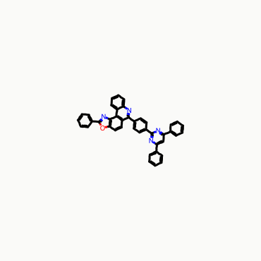 c1ccc(-c2cc(-c3ccccc3)nc(-c3ccc(-c4nc5ccccc5c5c4ccc4oc(-c6ccccc6)nc45)cc3)n2)cc1